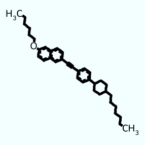 CCCCCCCC1CCC(c2ccc(C#Cc3ccc4cc(OCCCCCC)ccc4c3)cc2)CC1